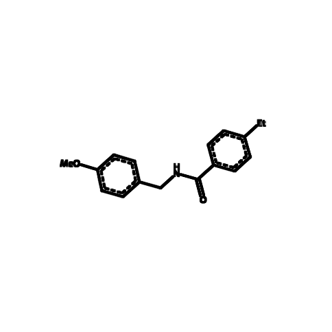 CCc1ccc(C(=O)NCc2ccc(OC)cc2)cc1